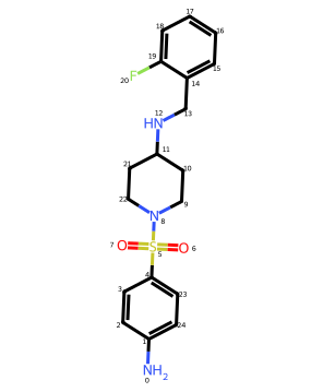 Nc1ccc(S(=O)(=O)N2CCC(NCc3ccccc3F)CC2)cc1